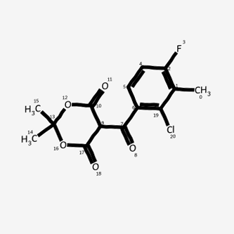 Cc1c(F)ccc(C(=O)C2C(=O)OC(C)(C)OC2=O)c1Cl